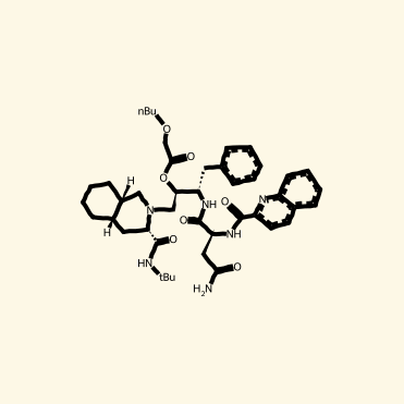 CCCCOCC(=O)O[C@H](CN1C[C@H]2CCCC[C@H]2C[C@H]1C(=O)NC(C)(C)C)[C@H](Cc1ccccc1)NC(=O)[C@H](CC(N)=O)NC(=O)c1ccc2ccccc2n1